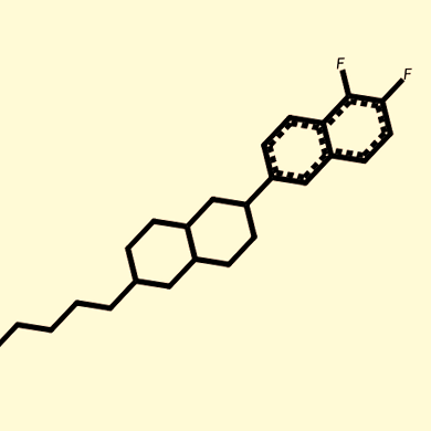 CCCCCC1CCC2CC(c3ccc4c(F)c(F)ccc4c3)CCC2C1